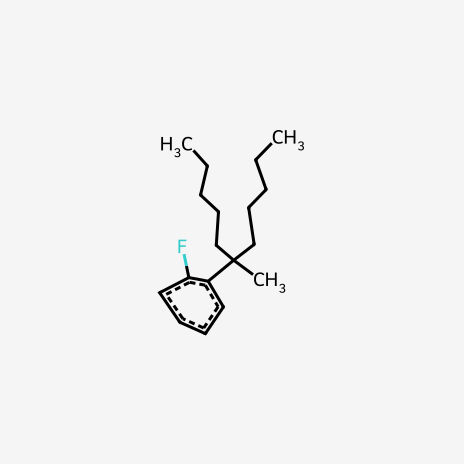 CCCCCC(C)(CCCCC)c1ccccc1F